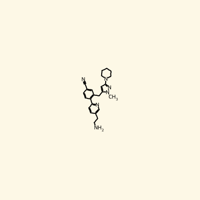 Cn1nc(N2CCCCC2)cc1Cc1cc(C#N)ccc1-c1ccc(CCN)cn1